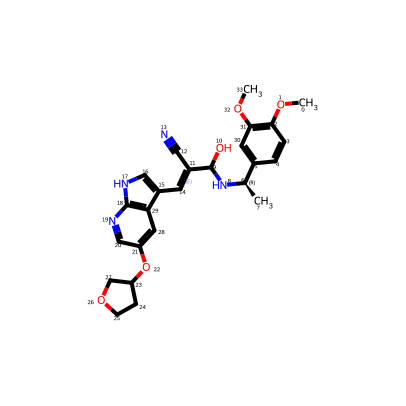 COc1ccc([C@@H](C)NC(O)/C(C#N)=C/c2c[nH]c3ncc(OC4CCOC4)cc23)cc1OC